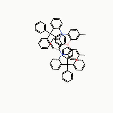 Cc1ccc2c(c1)B1c3cc(C)ccc3N(c3ccccc3C(c3ccccc3)(c3ccccc3)c3ccccc3)c3cccc(c31)N2c1ccccc1C(c1ccccc1)(c1ccccc1)c1ccccc1